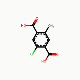 Cc1cc(C(=O)O)c(Cl)cc1C(=O)O